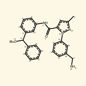 Cc1cc(C(=O)Nc2cccc(C(OCC(C)C)c3ccccc3)c2)n(-c2cccc(CN)c2)n1